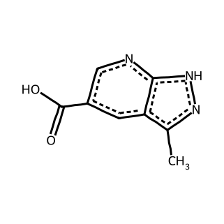 Cc1n[nH]c2ncc(C(=O)O)cc12